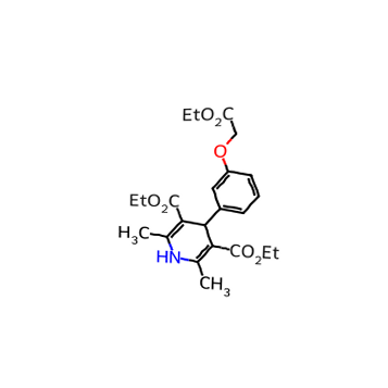 CCOC(=O)COc1cccc(C2C(C(=O)OCC)=C(C)NC(C)=C2C(=O)OCC)c1